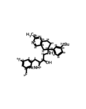 CC(=O)NC(Cc1cc(F)cc(F)c1)C(O)CNC1(c2cccc(C(C)(C)C)c2)CCc2nc(C)ncc2C1